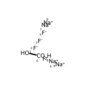 O=C(O)O.[F-].[F-].[F-].[F-].[Na+].[Na+].[Na+].[Na+]